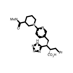 CNC(=O)C1CCCN(c2ccc(C[C@H](c3nnn[nH]3)[C@H](CC(C)C)C(=O)O)cn2)C1